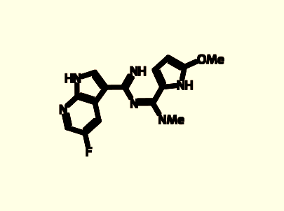 CN/C(=N/C(=N)c1c[nH]c2ncc(F)cc12)c1ccc(OC)[nH]1